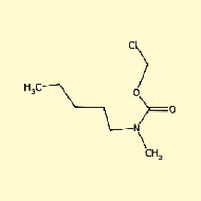 CCCCCN(C)C(=O)OCCl